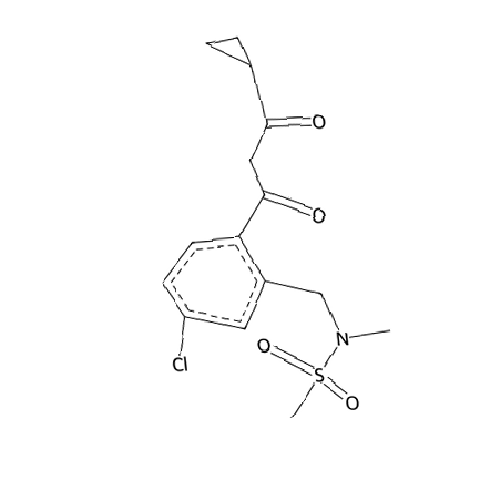 CN(Cc1cc(Cl)ccc1C(=O)CC(=O)C1CC1)S(C)(=O)=O